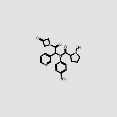 CC(C)(C)c1ccc(N(C(=O)C2CCCN2C#N)C(C(=O)N2CC(=O)C2)c2cccnc2)cc1